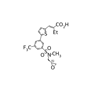 CCC(=Cc1ccc(-c2cc(C(F)(F)F)cc(S(=O)(=O)N(C)C[C@H]3CO3)c2)s1)C(=O)O